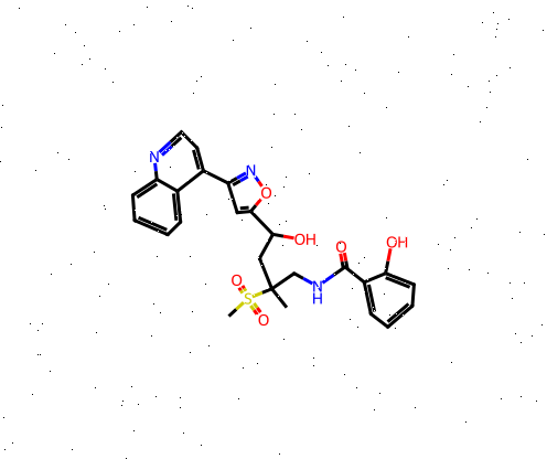 CC(CNC(=O)c1ccccc1O)(CC(O)c1cc(-c2ccnc3ccccc23)no1)S(C)(=O)=O